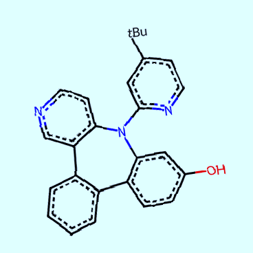 CC(C)(C)c1ccnc(N2c3ccncc3-c3ccccc3-c3ccc(O)cc32)c1